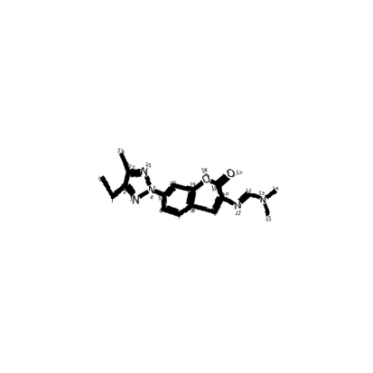 CCc1nn(-c2ccc3cc(/N=C/N(C)C)c(=O)oc3c2)nc1C